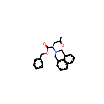 CC(=O)C[C@H](C(=O)OCc1ccccc1)N(Cc1ccccc1)Cc1ccccc1